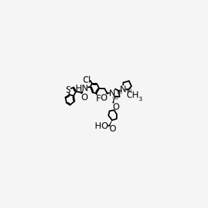 C[C@H]1CCCN1[C@H]1C[C@@H](CO[C@H]2CC[C@H](C(=O)O)CC2)N(C(=O)Cc2cc(Cl)c(NC(=O)c3csc4ccccc34)cc2F)C1